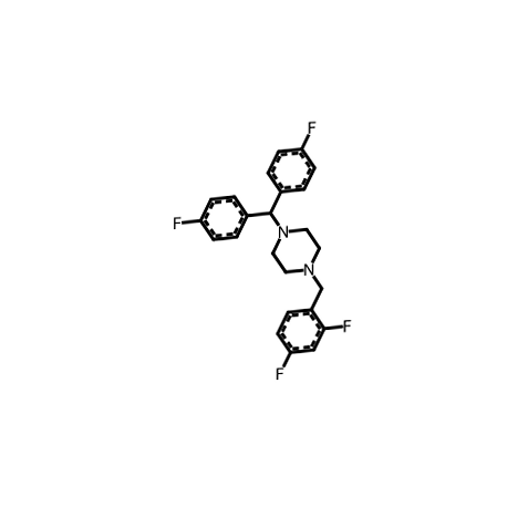 Fc1ccc(C(c2ccc(F)cc2)N2CCN(Cc3ccc(F)cc3F)CC2)cc1